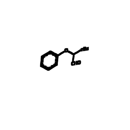 CCCCC(C=O)Oc1ccccc1